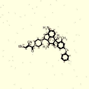 Cc1cc(Oc2ccccc2)ccc1C1(N)C(=O)C(N)C2c3c1ccc(N)c3SC2N1CCN(C(=O)/C(C#N)=C/C(C)(C)C)CC1